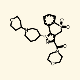 O=C(c1nn([C@@H]2CCCN(C3CCOCC3)CC2)c2c1CS(=O)(=O)c1ccccc1-2)N1CCOCC1